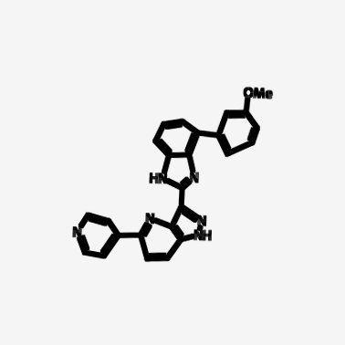 COc1cccc(-c2cccc3[nH]c(-c4n[nH]c5ccc(-c6ccncc6)nc45)nc23)c1